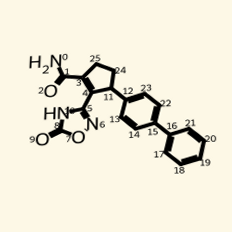 NC(=O)C1=C(c2noc(=O)[nH]2)C(c2ccc(-c3ccccc3)cc2)CC1